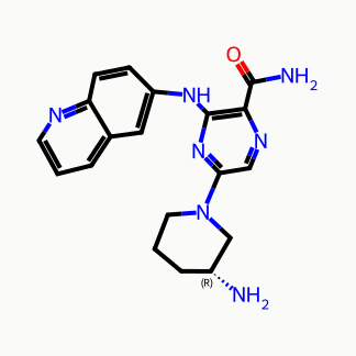 NC(=O)c1ncc(N2CCC[C@@H](N)C2)nc1Nc1ccc2ncccc2c1